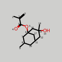 C=C(C)C(=O)OC12CC(C)CC(CC(C)(O)C1)C2